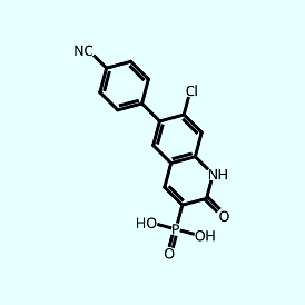 N#Cc1ccc(-c2cc3cc(P(=O)(O)O)c(=O)[nH]c3cc2Cl)cc1